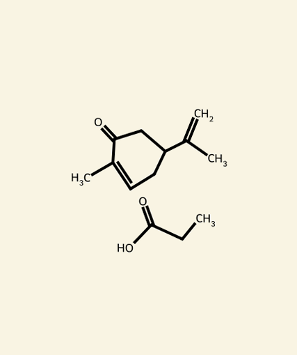 C=C(C)C1CC=C(C)C(=O)C1.CCC(=O)O